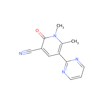 Cc1c(-c2ncccn2)cc(C#N)c(=O)n1C